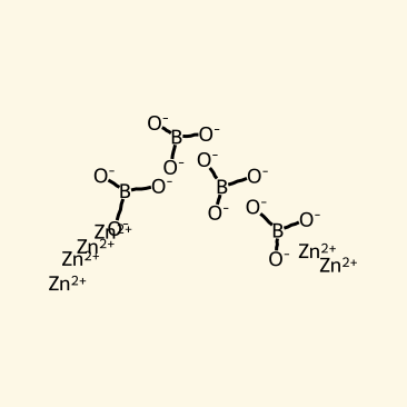 [O-]B([O-])[O-].[O-]B([O-])[O-].[O-]B([O-])[O-].[O-]B([O-])[O-].[Zn+2].[Zn+2].[Zn+2].[Zn+2].[Zn+2].[Zn+2]